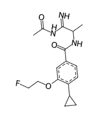 CC(=O)NC(=N)C(C)NC(=O)c1ccc(C2CC2)c(OCCF)c1